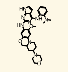 COc1cc2c(cc1Nc1nc(Nc3ccccc3N(C)C)c3cc[nH]c3n1)OCC1CC(N3CCOCC3)CCN21